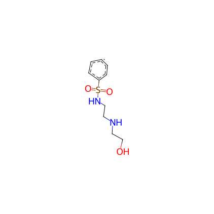 O=S(=O)(NCCNCCO)c1cc[c]cc1